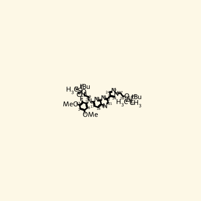 COc1cc(OC)c(F)c(N(CCO[Si](C)(C)C(C)(C)C)c2ccc3ncc(-c4cnn(CCO[Si](C)(C)C(C)(C)C)c4)nc3n2)c1